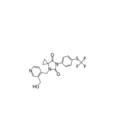 O=C1N(c2ccc(SC(F)(F)F)cc2)C(=O)C2(CC2)N1Cc1ccncc1CO